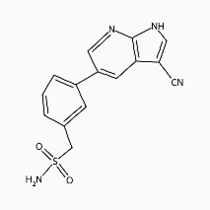 N#Cc1c[nH]c2ncc(-c3cccc(CS(N)(=O)=O)c3)cc12